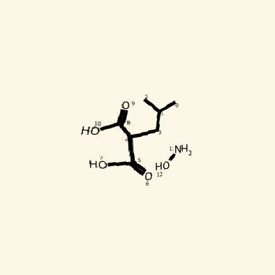 CC(C)CC(C(=O)O)C(=O)O.NO